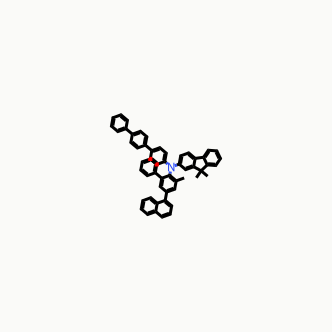 Cc1cc(-c2cccc3ccccc23)cc(-c2ccccc2)c1N(c1ccc(-c2ccc(-c3ccccc3)cc2)cc1)c1ccc2c(c1)C(C)(C)c1ccccc1-2